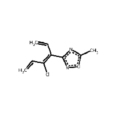 C=C/C(Cl)=C(\C=C)c1noc(C)n1